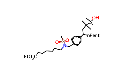 CCCCCC(CC(C)(C)[Si](C)(C)O)c1ccc(CN(CCCCCCC(=O)OCC)S(C)(=O)=O)cc1